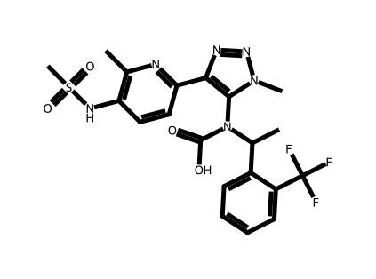 Cc1nc(-c2nnn(C)c2N(C(=O)O)C(C)c2ccccc2C(F)(F)F)ccc1NS(C)(=O)=O